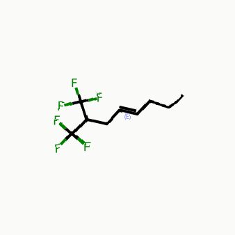 CCC/C=C/CC(C(F)(F)F)C(F)(F)F